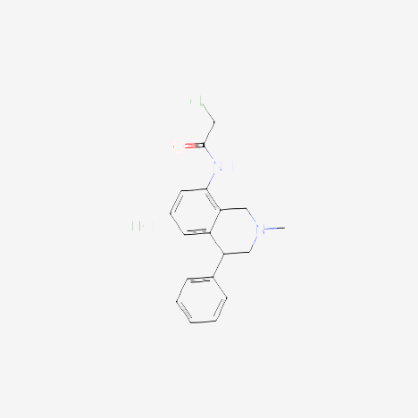 CN1Cc2c(NC(=O)CCl)cccc2C(c2ccccc2)C1.Cl